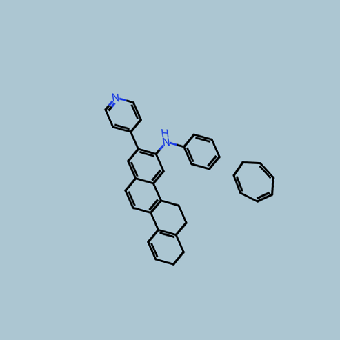 C1=CC2=C(CC1)CCc1c2ccc2cc(-c3ccncc3)c(Nc3ccccc3)cc12.C1=CC=CCC=C1